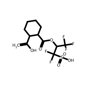 C=C(O)C1CCCCC1C(=O)OC(C(F)(F)F)C(F)(F)S(=O)(=O)O